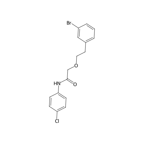 O=C(COCCc1cccc(Br)c1)Nc1ccc(Cl)cc1